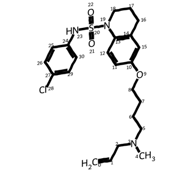 C=CCN(C)CCCCOc1ccc2c(c1)CCCN2S(=O)(=O)Nc1ccc(Cl)cc1